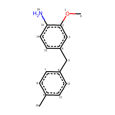 COc1cc(Cc2ccc(C)cc2)ccc1N